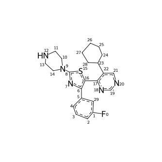 Fc1cccc(-c2nc(N3CCNCC3)sc2-c2n[c]ncc2C2CCCCC2)c1